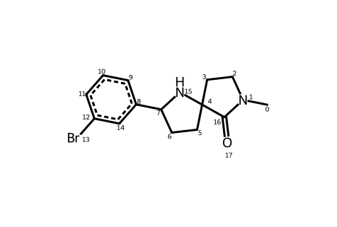 CN1CCC2(CCC(c3cccc(Br)c3)N2)C1=O